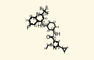 CCn1nc(C2CC2)cc1C(=O)N[C@@H]1CCC[C@H](Nc2cc(C(F)(F)F)nc3ccc(F)cc23)C1